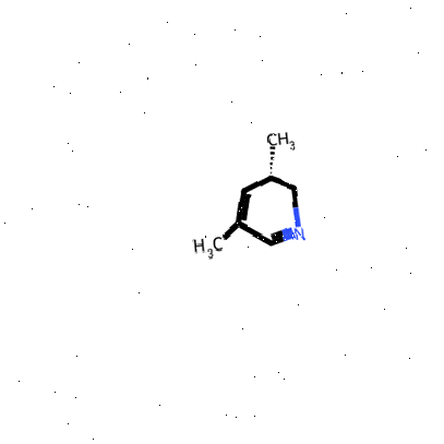 CC1=C[C@H](C)CN=C1